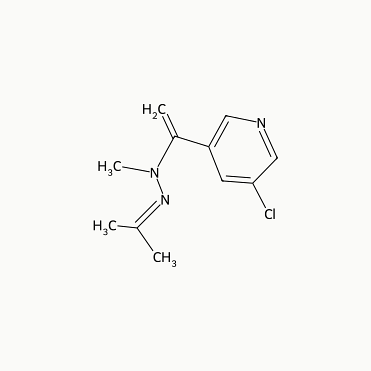 C=C(c1cncc(Cl)c1)N(C)N=C(C)C